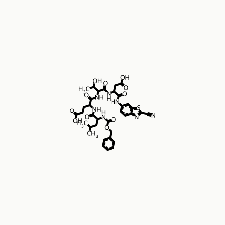 CC(C)CC(NC(=O)OCc1ccccc1)C(=O)NC(CCC(=O)O)C(=O)NC(C(=O)NC(CC(=O)O)C(=O)Nc1ccc2nc(C#N)sc2c1)C(C)O